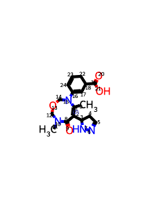 C/C1=C(\C2CC=NN2)C(=O)N(C)COCN1C1=CC(C(=O)O)CC=C1